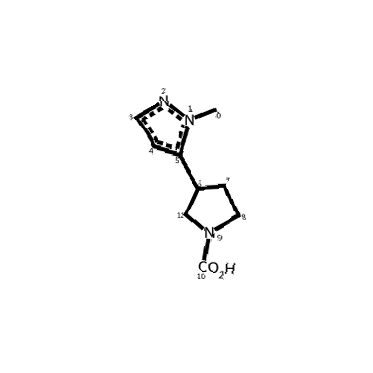 Cn1nccc1C1CCN(C(=O)O)C1